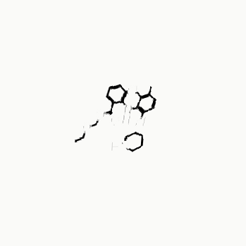 C1CCNCC1.CCOCOC(=O)c1ccccc1Nc1c(Cl)ccc(C)c1Cl